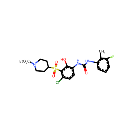 CCOC(=O)N1CCC(S(=O)(=O)c2c(Cl)ccc(NC(=O)Nc3cccc(F)c3C)c2O)CC1